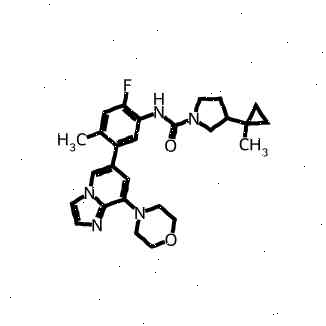 Cc1cc(F)c(NC(=O)N2CCC(C3(C)CC3)C2)cc1-c1cc(N2CCOCC2)c2nccn2c1